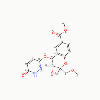 COCC1(C)Oc2ccc(C(=O)OC)cc2C(Oc2ccc(=O)[nH]n2)C1(C)O